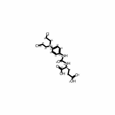 O=C(O)CC[C@H](NC(=O)Nc1ccc(N(CCCl)CCCl)cc1)C(=O)O